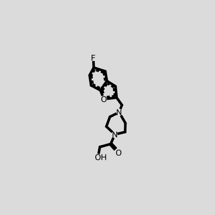 O=C(CO)N1CCN(Cc2cc3cc(F)ccc3o2)CC1